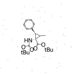 CC1[C@H](c2ccccc2)[C@]1(NC(=O)OC(C)(C)C)C(=O)OC(C)(C)C